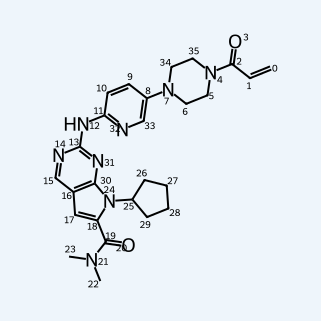 C=CC(=O)N1CCN(c2ccc(Nc3ncc4cc(C(=O)N(C)C)n(C5CCCC5)c4n3)nc2)CC1